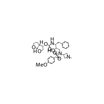 COc1ccc(S(=O)(=O)N(C[C@@H](O)[C@H](Cc2ccccc2)NC(=O)O[C@@H]2CO[C@@H]3OCC[C@@H]32)C2CN(C)C2)cc1